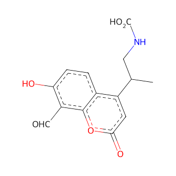 CC(CNC(=O)O)c1cc(=O)oc2c(C=O)c(O)ccc12